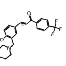 O=C(/C=C/c1ccc(O)c(CN2CCCCC2)c1)c1ccc(C(F)(F)F)cc1